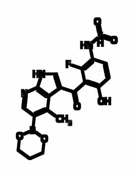 Cc1c(B2OCCCO2)cnc2[nH]cc(C(=O)c3c(O)ccc(N[SH](=O)=O)c3F)c12